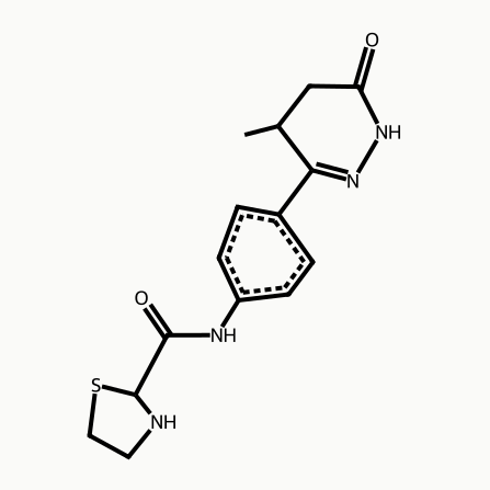 CC1CC(=O)NN=C1c1ccc(NC(=O)C2NCCS2)cc1